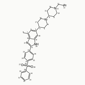 Cc1cc(C2CCN(C3CCN(CC(C)C)CC3)CC2)cc2[nH]c(-c3ccc(S(=O)(=O)c4ccccc4)cc3)nc12